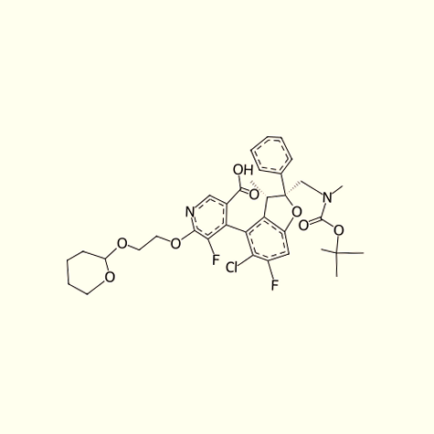 C[C@H]1c2c(cc(F)c(Cl)c2-c2c(C(=O)O)cnc(OCCOC3CCCCO3)c2F)O[C@]1(CN(C)C(=O)OC(C)(C)C)c1ccccc1